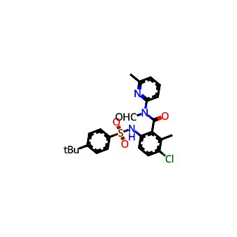 Cc1cccc(N(C=O)C(=O)c2c(NS(=O)(=O)c3ccc(C(C)(C)C)cc3)ccc(Cl)c2C)n1